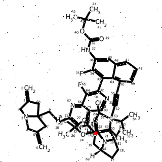 C=C1CN2CC(=C)CC2(COc2nc(N3C[C@H]4CC[C@@H](C3)N4C(=O)OC(C)(C)C)c3cnc(-c4c(F)c(NC(=O)OC(C)(C)C)cc5cccc(C#C[Si](C(C)C)(C(C)C)C(C)C)c45)c(F)c3n2)C1